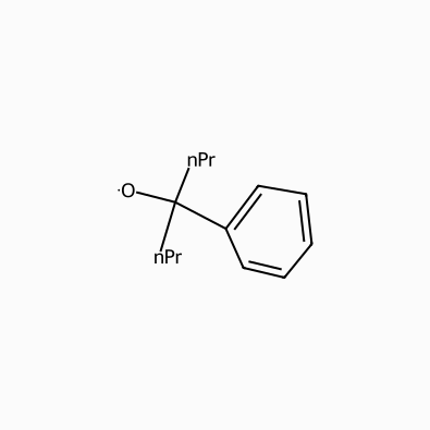 CCCC([O])(CCC)c1ccccc1